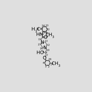 Cc1cccc(OCC(O)CN2CCN(CC(=O)Nc3c(C)cccc3C)CC2)c1